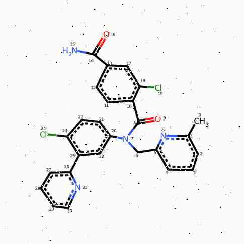 Cc1cccc(CN(C(=O)c2ccc(C(N)=O)cc2Cl)c2ccc(Cl)c(-c3ccccn3)c2)n1